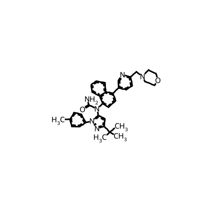 Cc1ccc(-n2nc(C(C)(C)C)cc2N(C(N)=O)c2ccc(-c3ccc(CN4CCOCC4)nc3)c3ccccc23)cc1